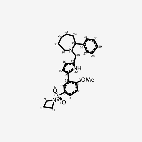 COc1ccc(S(=O)(=O)N2CCC2)cc1-c1ccc(CN2CCCCCC2c2ccccc2)[nH]1